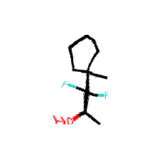 CC(O)C(F)(F)C1(C)CCCC1